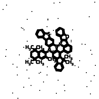 Cc1cc2c(cc1N1c3cc4c(cc3B3c5c1cc1c(c5-c5cccc6c7oc8ccccc8c7n3c56)C(C)(C)c3ccccc3-1)sc1ccccc14)C(C)(C)CCC2(C)C